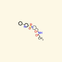 C=CC(=O)NC1CC2CCN(S(=O)(=O)c3ccc(-c4ccccc4)nc3)CC2O1